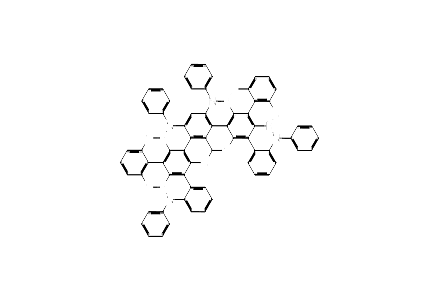 c1ccc(N2B3Sc4cccc5c4-c4c3c(c3c6c4B(S5)N(c4ccccc4)c4cc5c7c(c4-6)C(S3)Sc3c4c6c8c(c3-7)B(Sc3cccc(c3-8)SB6N(c3ccccc3)c3ccccc3-4)N5c3ccccc3)-c3ccccc32)cc1